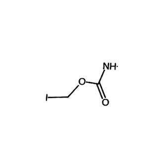 [NH]C(=O)OCI